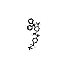 CC(C)(C)OC(=O)N1CCC(NC(=O)N2CCN3C(=O)OC(c4ccccc4)(c4ccccc4)C3C2)CC1